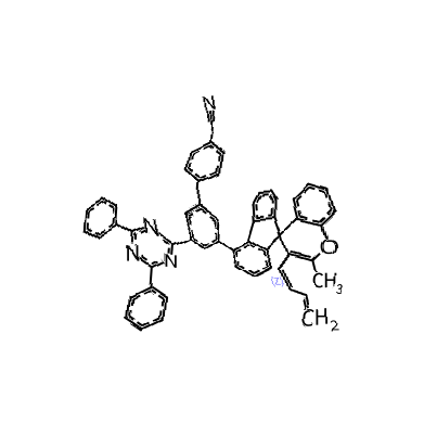 C=C/C=C\C1=C(C)Oc2ccccc2C12c1ccccc1-c1c(-c3cc(-c4ccc(C#N)cc4)cc(-c4nc(-c5ccccc5)nc(-c5ccccc5)n4)c3)cccc12